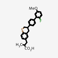 COc1ccc(F)c(-c2ccc(C3CSc4ccc(CC(C)C(=O)O)cc4C3)cc2)c1